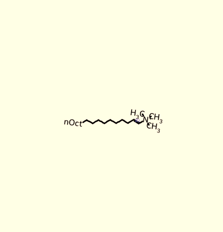 CCCCCCCCCCCCCCCC/C=C/[N+](C)(C)C